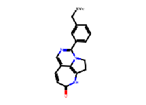 CNCc1cccc(C2=NC=C3C=CC(=O)NC4=C3N2CC4)c1